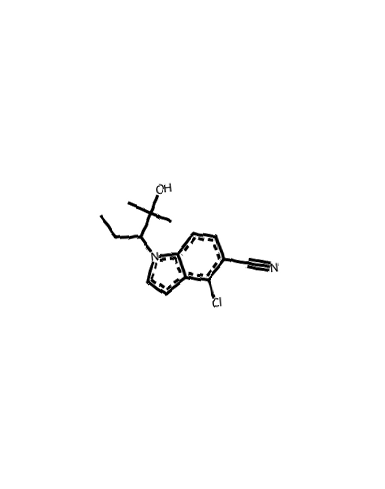 CCC(n1ccc2c(Cl)c(C#N)ccc21)C(C)(C)O